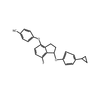 N#Cc1ccc(Oc2ccc(F)c3c2CCC3Oc2ccc(C3CC3)cc2)cc1